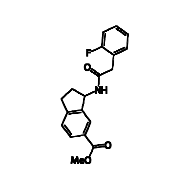 COC(=O)c1ccc2c(c1)C(NC(=O)Cc1ccccc1F)CC2